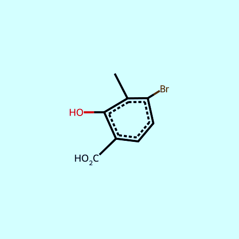 Cc1c(Br)ccc(C(=O)O)c1O